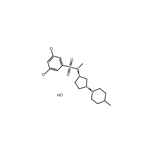 CC1CCN([C@H]2CC[C@@H](N(C)S(=O)(=O)c3cc(Cl)cc(Cl)c3)C2)CC1.Cl